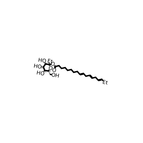 CCC=CCC=CCC=CCCCCCCCC(=O)O[C@@]1(CC)O[C@H](CO)[C@@H](O)[C@H](O)[C@H]1O